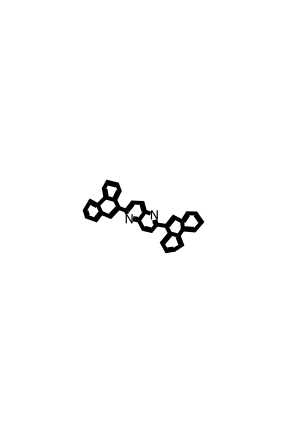 c1ccc2c(c1)cc(-c1ccc3nc(-c4cc5ccccc5c5ccccc45)ccc3n1)c1ccccc12